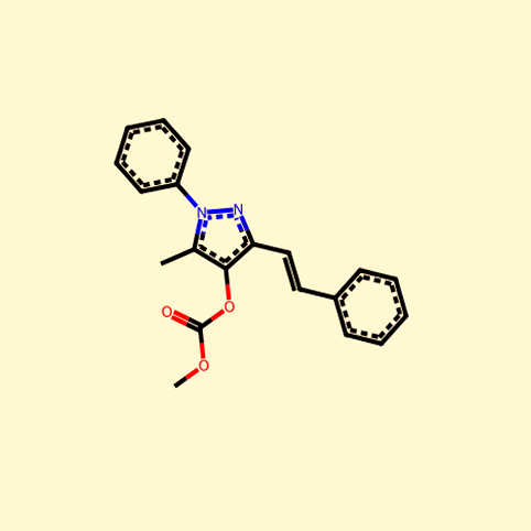 COC(=O)Oc1c(C=Cc2ccccc2)nn(-c2ccccc2)c1C